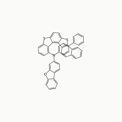 c1ccc(-c2ccc(N(c3ccc4c(c3)oc3ccccc34)c3cccc4sc5ccc6sc7c8ccccc8ccc7c6c5c34)cc2)cc1